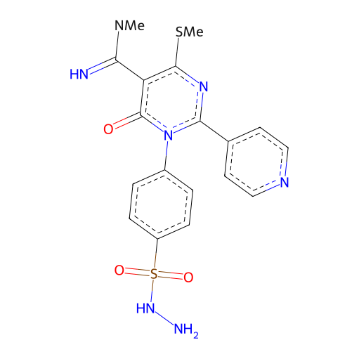 CNC(=N)c1c(SC)nc(-c2ccncc2)n(-c2ccc(S(=O)(=O)NN)cc2)c1=O